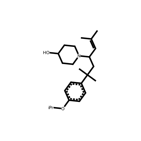 CC(C)=CC(CC(C)(C)c1ccc(OC(C)C)cc1)N1CCC(O)CC1